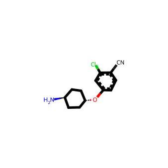 N#Cc1ccc(O[C@H]2CC[C@H](N)CC2)cc1Cl